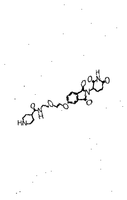 O=C1CCC(N2C(=O)c3ccc(OCCOCCNC(=O)C4CCNCC4)cc3C2=O)C(=O)N1